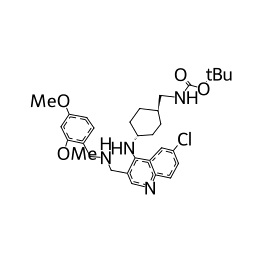 COc1ccc(CNCc2cnc3ccc(Cl)cc3c2N[C@H]2CC[C@H](CNC(=O)OC(C)(C)C)CC2)c(OC)c1